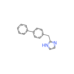 c1ccc(-c2ccc(Cc3ncc[nH]3)cc2)cc1